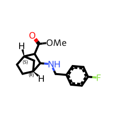 COC(=O)C1C(NCc2ccc(F)cc2)[C@@H]2CC[C@H]1C2